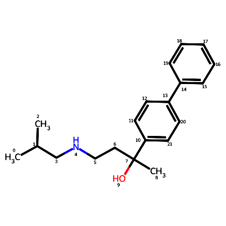 CC(C)CNCCC(C)(O)c1ccc(-c2ccccc2)cc1